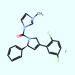 C[n+]1ccn(C(=O)N2CC(c3cc(F)ccc3F)=C[C@H]2c2ccccc2)c1.[I-]